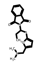 CCC(Sc1ccc(CN(C)C)o1)N1C(=O)c2ccccc2C1=O